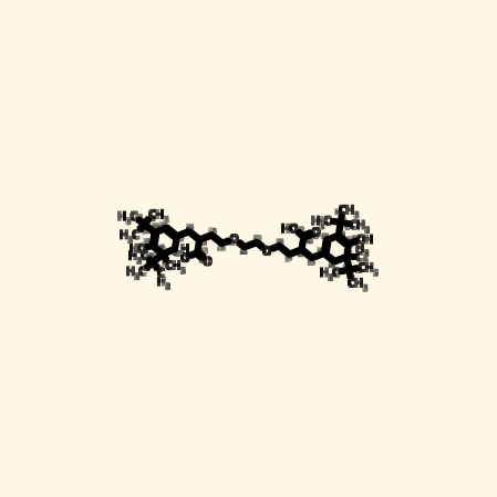 CC(C)(C)C1=C(O)C(C)(C(C)(C)C)CC(CC(CCOCCOCCC(CC2=CC(C(C)(C)C)=C(O)C(C)(C(C)(C)C)C2)C(=O)O)C(=O)O)=C1